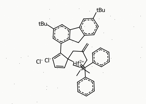 C=C(C[C]1([Hf+2]=[C](c2ccccc2)c2ccccc2)C=CC=C1c1cc(C(C)(C)C)cc2c1Cc1ccc(C(C)(C)C)cc1-2)C[Si](C)(C)C.[Cl-].[Cl-]